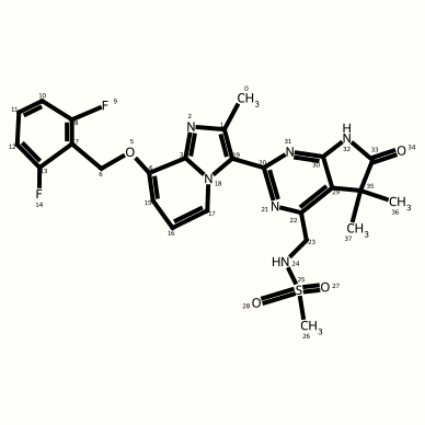 Cc1nc2c(OCc3c(F)cccc3F)cccn2c1-c1nc(CNS(C)(=O)=O)c2c(n1)NC(=O)C2(C)C